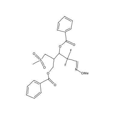 CO/N=C/C(F)(F)C(OC(=O)c1ccccc1)C(COC(=O)c1ccccc1)CS(C)(=O)=O